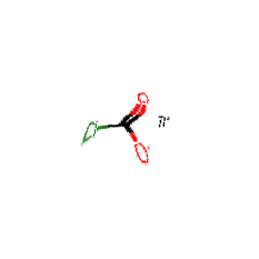 O=C([O-])Cl.[Tl+]